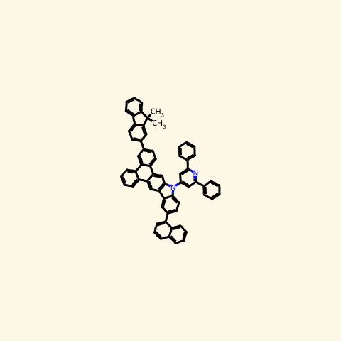 CC1(C)c2ccccc2-c2ccc(-c3ccc4c(c3)c3ccccc3c3cc5c6cc(-c7cccc8ccccc78)ccc6n(-c6cc(-c7ccccc7)nc(-c7ccccc7)c6)c5cc43)cc21